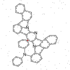 c1ccc(N(c2ccccc2)c2cccc3c4cc5ccccc5c5c6nc7c(cc6n(c23)c45)c2cccc3c4c5ccccc5ccc4n7c23)cc1